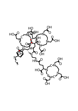 O=C(O)CN1CCN(CC(=O)O)CCN(C(CCC(=O)NCCN(C[C@H](Cc2ccc(N=C=S)cc2)NC(=O)CC[C@@H](C(=O)O)N2CCN(CC(=O)O)CCN(CC(=O)O)CCN(CC(=O)O)CC2)C(=O)CCC(C(=O)O)N2CCN(CC(=O)O)CCN(CC(=O)O)CCN(CC(=O)O)CC2)C(=O)O)CCN(CC(=O)O)CC1